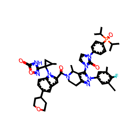 Cc1cc(-n2nc3c(c2-n2ccn(-c4ccc(P(=O)(C(C)C)C(C)C)cc4)c2=O)C(C)N(C(=O)c2cc4cc(C5CCOCC5)ccc4n2C2(c4noc(=O)[nH]4)CC2C)CC3)cc(C)c1F